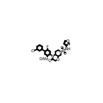 COc1cc(-c2cccc(Cl)c2)c(F)cc1N1C(=O)COC2CN(S(=O)(=O)Nc3ccon3)CCC21